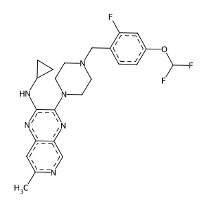 Cc1cc2nc(NC3CC3)c(N3CCN(Cc4ccc(OC(F)F)cc4F)CC3)nc2cn1